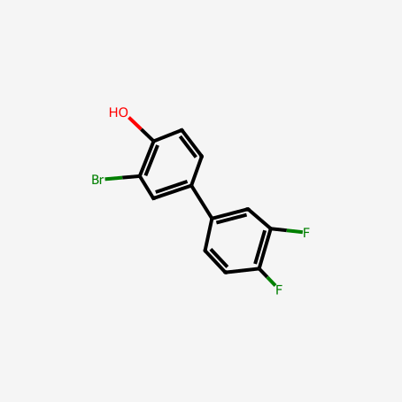 Oc1ccc(-c2ccc(F)c(F)c2)cc1Br